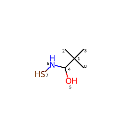 CC(C)(C)C(O)NS